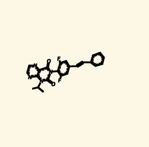 CC(C)n1c(=O)n(-c2c(F)cc(C#Cc3ccccc3)cc2F)c(=O)c2nccnc21